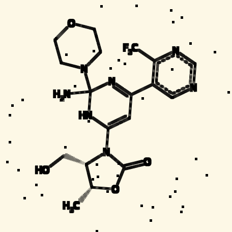 C[C@H]1OC(=O)N(C2=CC(c3cncnc3C(F)(F)F)=NC(N)(N3CCOCC3)N2)[C@H]1CO